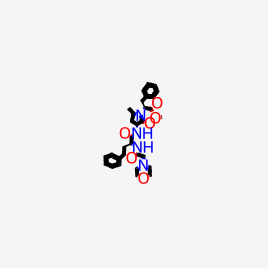 COC(=O)[C@H](Cc1ccccc1)N1C(=O)[C@@H](NC(=O)[C@H](CCc2ccccc2)NC(=O)CN2CCOCC2)CC1C